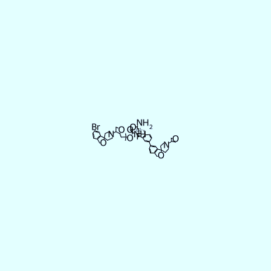 CC(C)(CC1OCC1N1CCC2(CC1)OCc1ccc(Br)cc12)OC(=O)N[C@@H](Cc1ccc(-c2ccc3c(c2)C2(CCN(C4COC4)CC2)OC3)cc1F)C(N)=O